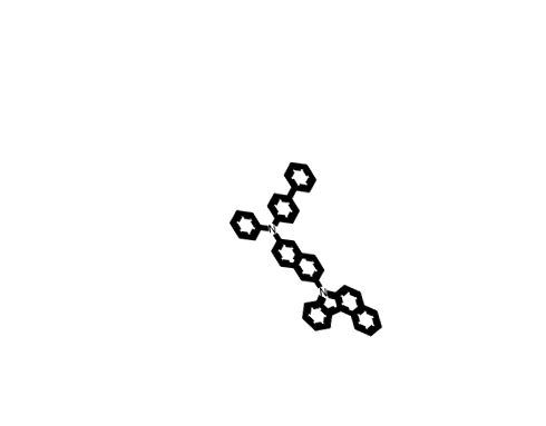 c1ccc(-c2ccc(N(c3ccccc3)c3ccc4cc(-n5c6ccccc6c6c7ccccc7ccc65)ccc4c3)cc2)cc1